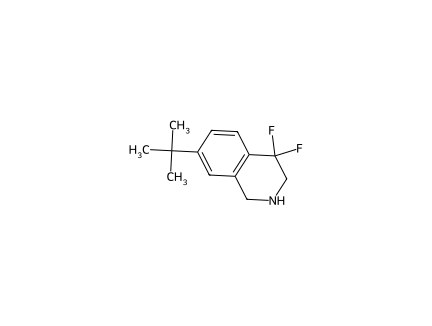 CC(C)(C)c1ccc2c(c1)CNCC2(F)F